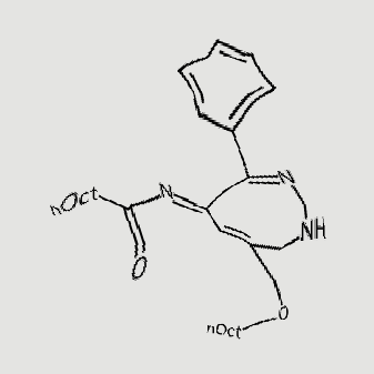 CCCCCCCCOc1cc(=NC(=O)CCCCCCCC)c(-c2ccccc2)n[nH]1